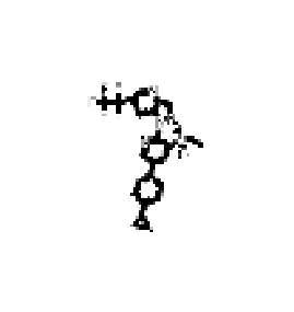 CCS(=O)(=O)c1cc(-c2ccc(C3CC3)cc2)cnc1-n1ncc2ncc(C(F)(F)C(F)(F)F)cc21